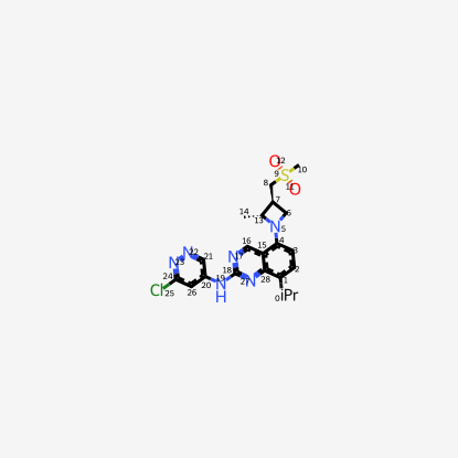 CC(C)c1ccc(N2C[C@H](CS(C)(=O)=O)[C@H]2C)c2cnc(Nc3cnnc(Cl)c3)nc12